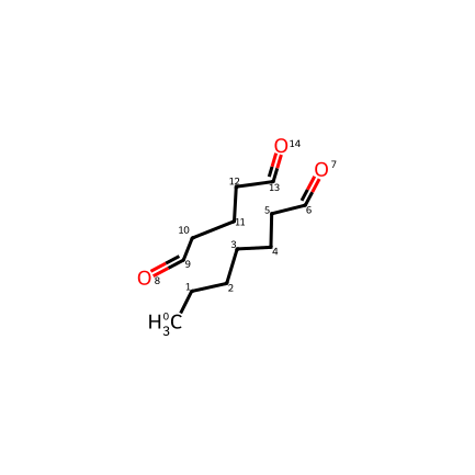 CCCCCCC=O.O=CCCCC=O